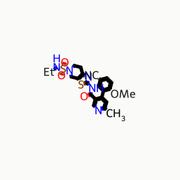 CCNS(=O)(=O)N1CCc2nc(NC(=O)c3cnc(C)cc3-c3cc(C#N)ccc3OC)sc2C1